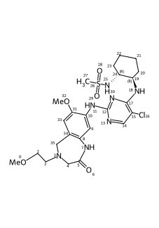 COCCN1CC(=O)Nc2cc(Nc3ncc(Cl)c(N[C@@H]4CCCC[C@H]4NS(C)(=O)=O)n3)c(OC)cc2C1